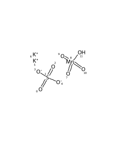 O=S(=O)([O-])[O-].[K+].[K+].[O]=[Mn](=[O])(=[O])[OH]